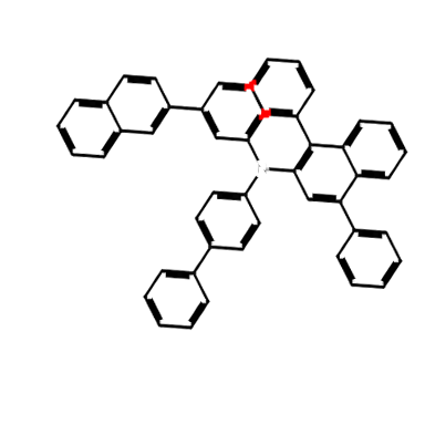 c1ccc(-c2ccc(N(c3cccc(-c4ccc5ccccc5c4)c3)c3cc(-c4ccccc4)c4ccccc4c3-c3ccccc3)cc2)cc1